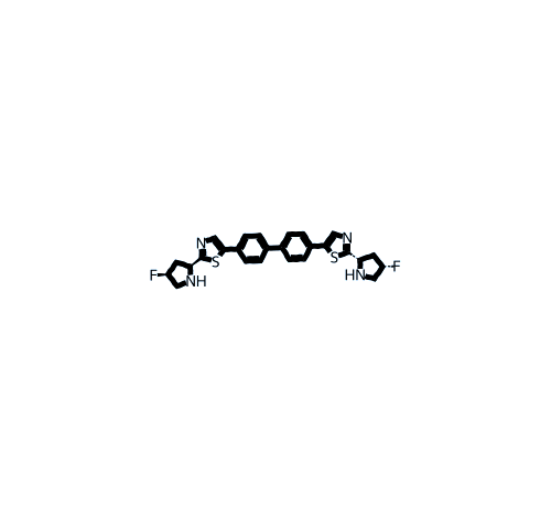 F[C@@H]1CN[C@H](c2ncc(-c3ccc(-c4ccc(-c5cnc([C@@H]6C[C@H](F)CN6)s5)cc4)cc3)s2)C1